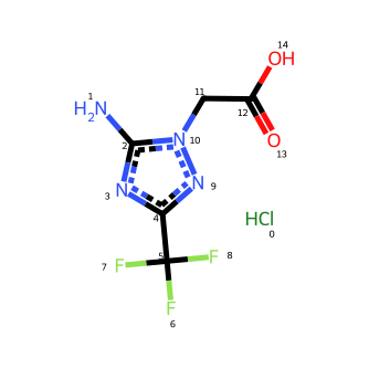 Cl.Nc1nc(C(F)(F)F)nn1CC(=O)O